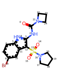 O=C(Nc1[nH]c2ccc(Br)cc2c1S(=O)(=O)N1CCCC1)N1CCC1